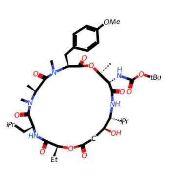 CC[C@@H]1OC(=O)C[C@H](O)[C@@H](C(C)C)NC(=O)[C@@H](NC(=O)OC(C)(C)C)[C@@H](C)OC(=O)[C@H](Cc2ccc(OC)cc2)N(C)C(=O)[C@H](C)N(C)C(=O)[C@H](CC(C)C)NC1=O